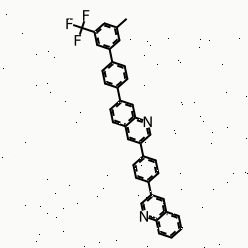 Cc1cc(-c2ccc(-c3ccc4cc(-c5ccc(-c6cnc7ccccc7c6)cc5)cnc4c3)cc2)cc(C(F)(F)F)c1